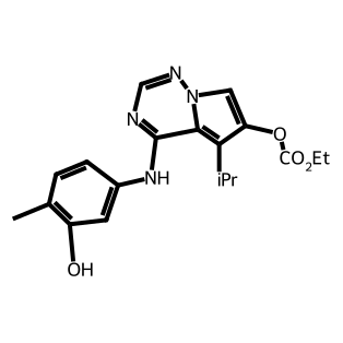 CCOC(=O)Oc1cn2ncnc(Nc3ccc(C)c(O)c3)c2c1C(C)C